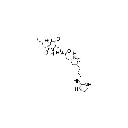 CCCCS(=O)(=O)NC(CNC(=O)CC1CC(CCCNC2NCCN2)ON1)C(=O)O